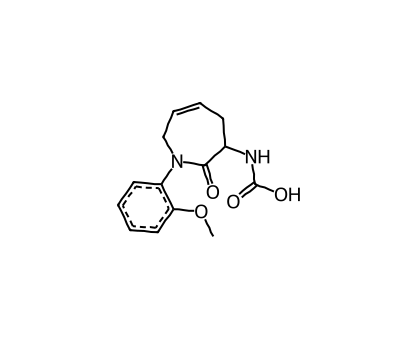 COc1ccccc1N1CC=CCC(NC(=O)O)C1=O